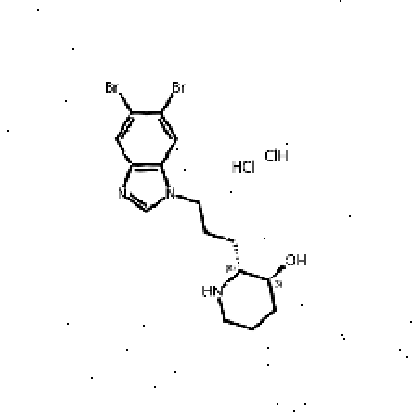 Cl.Cl.O[C@H]1CCCN[C@@H]1CCCn1cnc2cc(Br)c(Br)cc21